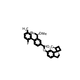 CO[C@H](c1cc(COc2ccc3c(c2)[C@]2(CC3)CC[C@@H]2C(=O)O)ccc1-c1cc(C)ccc1F)C(C)(C)C